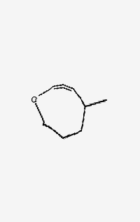 CC1C=COCCC1